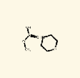 C1COCCN1.COS(=O)O